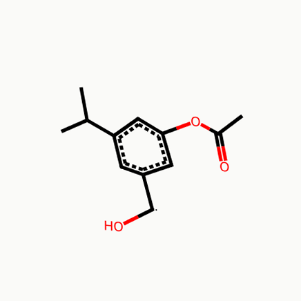 CC(=O)Oc1cc([CH]O)cc(C(C)C)c1